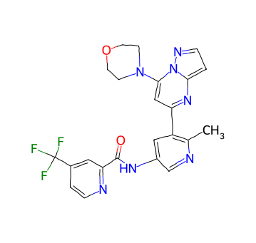 Cc1ncc(NC(=O)c2cc(C(F)(F)F)ccn2)cc1-c1cc(N2CCOCC2)n2nccc2n1